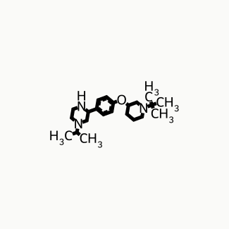 CC(C)N1CCNC(c2ccc(OC3CCCN(C(C)(C)C)C3)cc2)C1